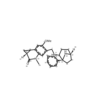 COc1cc2c(cc1CN[C@H]1CC[C@@H]3CC[C@@]1(c1ccccc1)N3)N(C)C(=O)[C@@H]1CC21